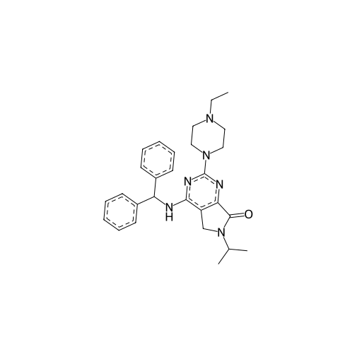 CCN1CCN(c2nc(NC(c3ccccc3)c3ccccc3)c3c(n2)C(=O)N(C(C)C)C3)CC1